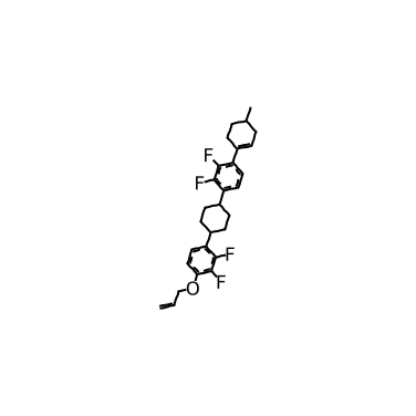 C=CCOc1ccc(C2CCC(c3ccc(C4=CCC(C)CC4)c(F)c3F)CC2)c(F)c1F